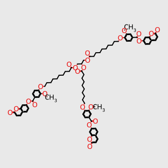 COc1cc(C(=O)Oc2ccc3ccc(=O)oc3c2)ccc1OCCCCCCCCCC(=O)OCC(COC(=O)CCCCCCCCCOc1ccc(C(=O)Oc2ccc3ccc(=O)oc3c2)cc1OC)OC(=O)CCCCCCCCCOc1ccc(C(=O)Oc2ccc3ccc(=O)oc3c2)cc1OC